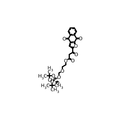 CC(C)(C)OP(=O)(OCOCCOC(=O)CC(=O)c1cc2c(o1)C(=O)c1ccccc1C2=O)OC(C)(C)C